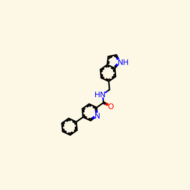 O=C(NCc1ccc2cc[nH]c2c1)c1ccc(-c2ccccc2)cn1